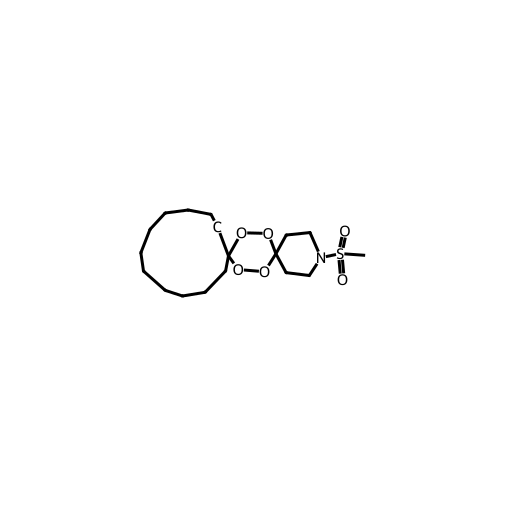 CS(=O)(=O)N1CCC2(CC1)OOC1(CCCCCCCCCCC1)OO2